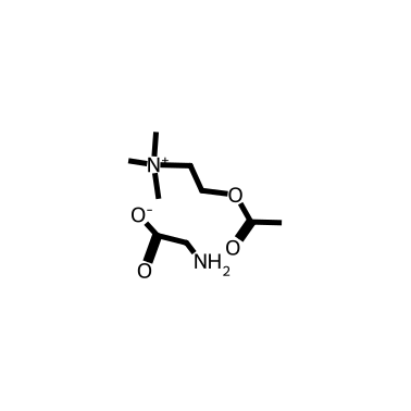 CC(=O)OCC[N+](C)(C)C.NCC(=O)[O-]